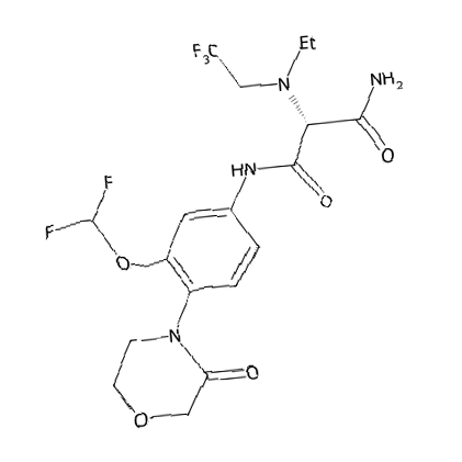 CCN(CC(F)(F)F)[C@H](C(N)=O)C(=O)Nc1ccc(N2CCOCC2=O)c(OC(F)F)c1